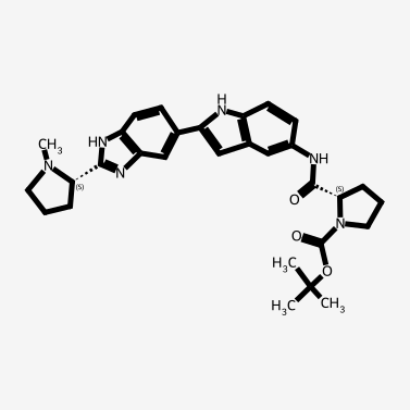 CN1CCC[C@H]1c1nc2cc(-c3cc4cc(NC(=O)[C@@H]5CCCN5C(=O)OC(C)(C)C)ccc4[nH]3)ccc2[nH]1